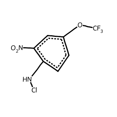 O=[N+]([O-])c1cc(OC(F)(F)F)ccc1NCl